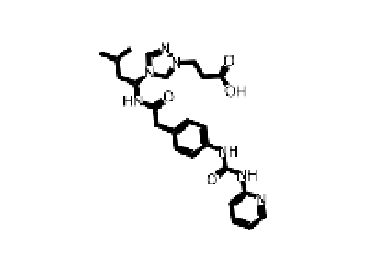 CC(C)CC(NC(=O)Cc1ccc(NC(=O)Nc2ccccn2)cc1)N1C=NN(CCC(=O)O)C1